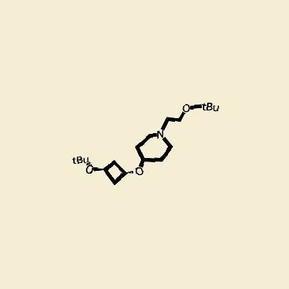 CC(C)(C)OCCN1CCC(O[C@H]2C[C@H](OC(C)(C)C)C2)CC1